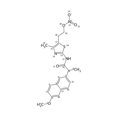 COc1ccc2cc(C(C)C(=O)Nc3nc(C)c(CCO[N+](=O)[O-])s3)ccc2c1